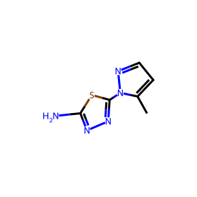 Cc1ccnn1-c1nnc(N)s1